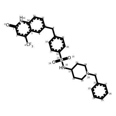 O=c1cc(C(F)(F)F)c2cc(Cc3ccc(S(=O)(=O)NC4CCN(Cc5ccccc5)CC4)cc3)ccc2[nH]1